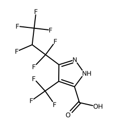 O=C(O)c1[nH]nc(C(F)(F)C(F)C(F)(F)F)c1C(F)(F)F